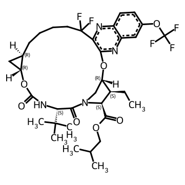 CC[C@@H]1[C@@H]2CN(C(=O)[C@H](C(C)(C)C)NC(=O)O[C@@H]3C[C@H]3CCCCC(F)(F)c3nc4ccc(OC(F)(F)F)cc4nc3O2)[C@@H]1C(=O)OCC(C)C